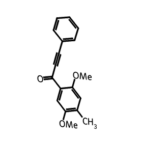 COc1cc(C(=O)C#Cc2ccccc2)c(OC)cc1C